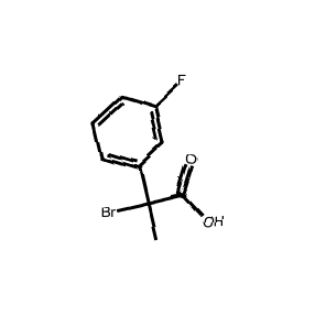 CC(Br)(C(=O)O)c1cccc(F)c1